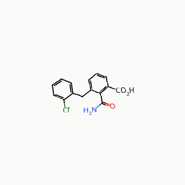 NC(=O)c1c(Cc2ccccc2Cl)cccc1C(=O)O